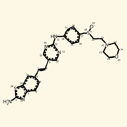 Nc1nc2ccc(C=Cc3cnc(Nc4ccc([S+]([O-])CCN5CCOCC5)cc4)nc3)cc2s1